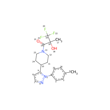 Cc1ccc(-n2nccc2C2CCN(C(=O)C(C)(O)C(F)(F)F)CC2)cc1